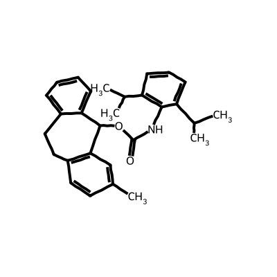 Cc1ccc2c(c1)C(OC(=O)Nc1c(C(C)C)cccc1C(C)C)c1ccccc1CC2